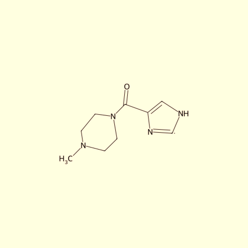 CN1CCN(C(=O)c2c[nH][c]n2)CC1